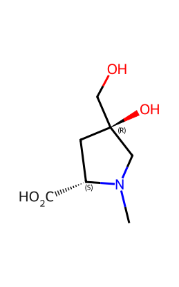 CN1C[C@@](O)(CO)C[C@H]1C(=O)O